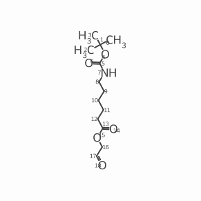 CC(C)(C)OC(=O)NCCCCCC(=O)OCC=O